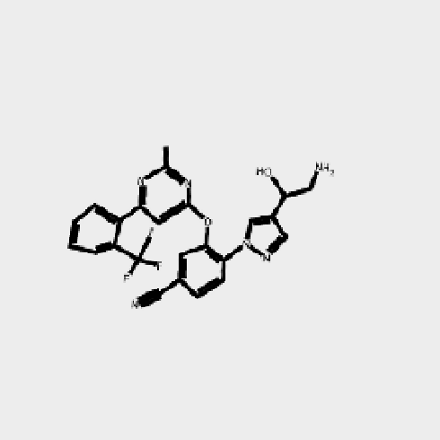 Cc1nc(Oc2cc(C#N)ccc2-n2cc(C(O)CN)cn2)cc(-c2ccccc2C(F)(F)F)n1